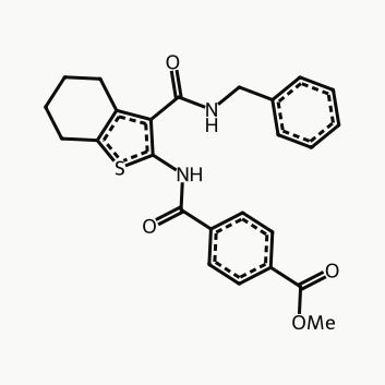 COC(=O)c1ccc(C(=O)Nc2sc3c(c2C(=O)NCc2ccccc2)CCCC3)cc1